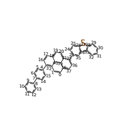 C1=CC2=C(c3ccc(-c4ccccc4)cc3)C=CC3=CC=C4C(c5ccc6sc7ccccc7c6c5)=CC=C1C4C32